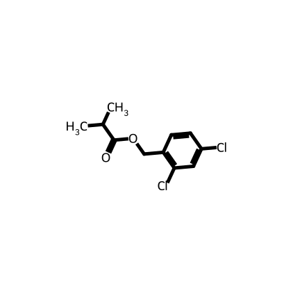 CC(C)C(=O)OCc1ccc(Cl)cc1Cl